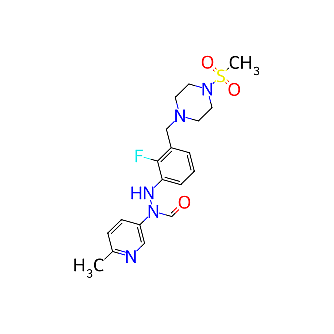 Cc1ccc(N(C=O)Nc2cccc(CN3CCN(S(C)(=O)=O)CC3)c2F)cn1